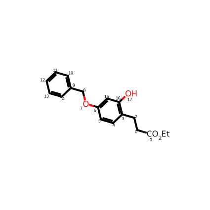 CCOC(=O)CCc1ccc(OCc2ccccc2)cc1O